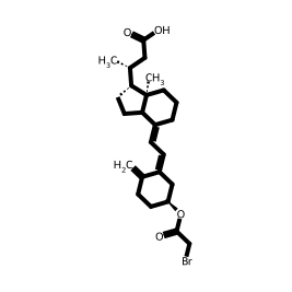 C=C1CC[C@H](OC(=O)CBr)C/C1=C/C=C1\CCC[C@@]2(C)C1CC[C@@H]2[C@H](C)CC(=O)O